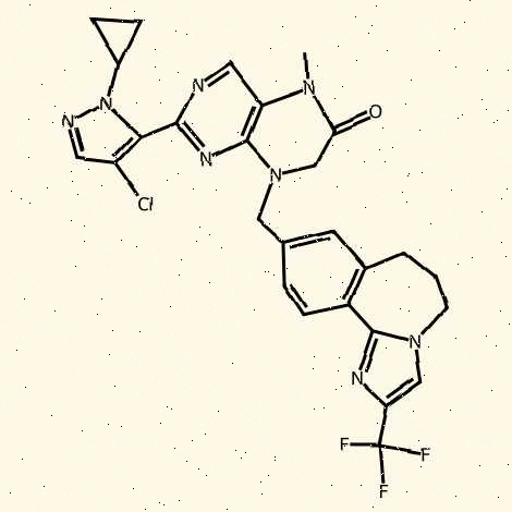 CN1C(=O)CN(Cc2ccc3c(c2)CCCn2cc(C(F)(F)F)nc2-3)c2nc(-c3c(Cl)cnn3C3CC3)ncc21